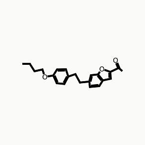 CCCCOc1ccc(CCc2ccc3cc(C(C)=O)oc3c2)cc1